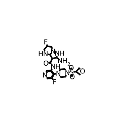 NC1NN2CC(F)CNC2C1C(=O)Nc1cncc(F)c1N1CCN(S(=O)(=O)C2COC2)CC1